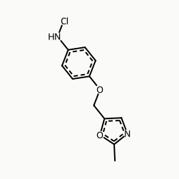 Cc1ncc(COc2ccc(NCl)cc2)o1